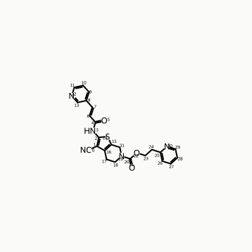 N#Cc1c(NC(=O)C=Cc2cccnc2)sc2c1CCN(C(=O)OCCc1ccccn1)C2